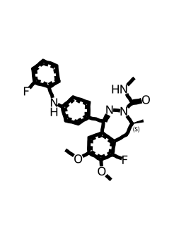 CNC(=O)N1N=C(c2ccc(Nc3ccccc3F)cc2)c2cc(OC)c(OC)c(F)c2C[C@@H]1C